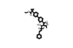 CCOC(=O)C1(c2ccc(-c3ccc(-c4onc(C)c4C(O)C(F)(F)/C=C/c4ccccc4)cc3)cc2)CC1